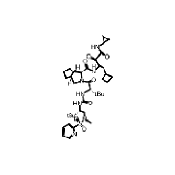 CN(C[C@@H](NC(=O)N[C@H](C(=O)N1C[C@@H]2CCC[C@@H]2[C@H]1C(=O)NC(CC1CCC1)C(=O)C(=O)NC1CC1)C(C)(C)C)C(C)(C)C)S(=O)(=O)c1ccccn1